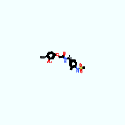 Cc1cc([C@@H](C)NC(=O)COc2ccc(C(C)(C)C)c(O)c2)ccc1NS(C)(=O)=O